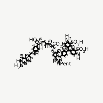 CCCCCNOC(c1ccc(-c2c3ccc(=N)c(S(=O)(=O)O)c-3oc3c(S(=O)(=O)O)c(N)ccc23)c(C(=O)O)c1)N1C(=O)CC(SCC(NC(=O)CCC(NC(=O)c2ccc(NCc3cnc4nc(N)[nH]c(=O)c4n3)cc2)C(=O)O)C(=O)O)C1=O